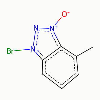 Cc1cccc2c1[n+]([O-])nn2Br